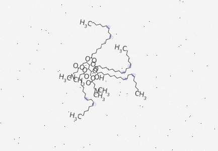 CCCCC/C=C\C/C=C\CCCCCCCC(=O)OC(COC(=O)CCN(C)C)C(OC(=O)CCCCCCC/C=C\C/C=C\CCCCC)C(OC(=O)CCCCCCC/C=C\C/C=C\CCCCC)C(COC(=O)CCN(C)C)OC(O)CCCCCCC/C=C\C/C=C\CCCCC